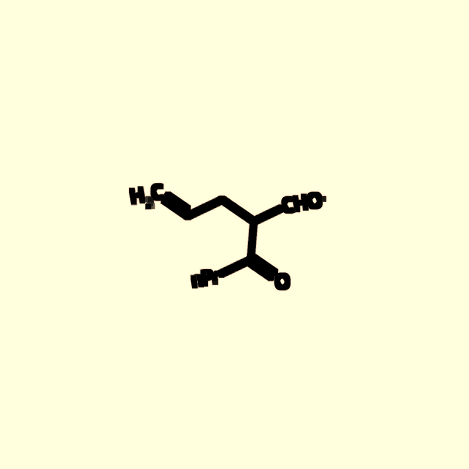 C=CCC([C]=O)C(=O)CCC